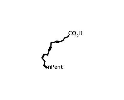 CCCCC/C=C\C/C=C\CC#CCC#CCCCC(=O)O